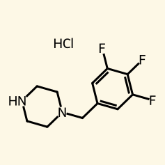 Cl.Fc1cc(CN2CCNCC2)cc(F)c1F